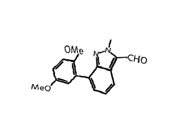 COc1ccc(OC)c(-c2cccc3c(C=O)n(C)nc23)c1